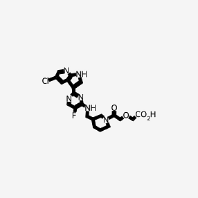 O=C(O)COCC(=O)N1CCCC(CNc2nc(-c3c[nH]c4ncc(Cl)cc34)ncc2F)C1